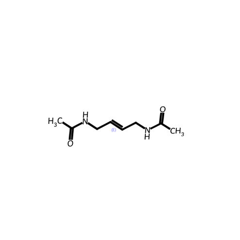 CC(=O)NC/C=C/CNC(C)=O